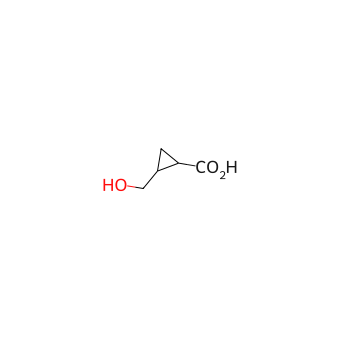 O=C(O)C1CC1CO